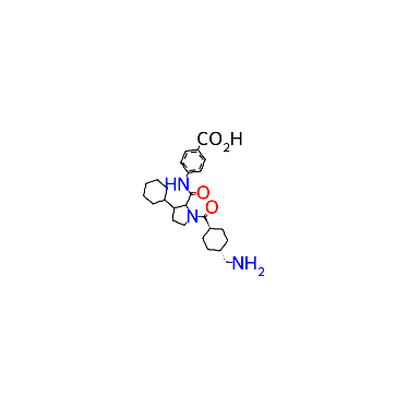 NC[C@H]1CC[C@H](C(=O)N2CCC(C3CCCCC3)C2C(=O)Nc2ccc(C(=O)O)cc2)CC1